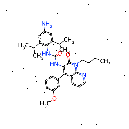 CCCCn1c(=O)c(NC(=O)Nc2c(C(C)C)cc(N)cc2C(C)C)c(-c2cccc(OC)c2)c2cccnc21